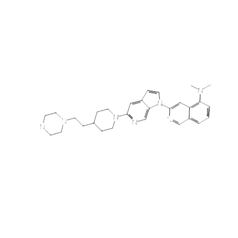 CN(C)c1cccc2cnc(-n3ccc4cc(N5CCC(CCN6CCNCC6)CC5)ncc43)cc12